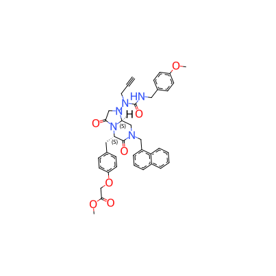 C#CCN(C(=O)NCc1ccc(OC)cc1)N1CC(=O)N2[C@@H](Cc3ccc(OCC(=O)OC)cc3)C(=O)N(Cc3cccc4ccccc34)C[C@@H]21